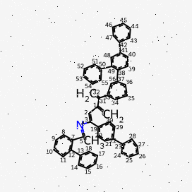 C=C(/C=C(/N=C(\C)c1ccccc1-c1ccccc1)c1ccc(-c2ccccc2)cc1)C(=C)c1cccc(-c2ccc(-c3ccccc3)cc2-c2ccccc2)c1